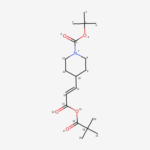 CC(C)(C)OC(=O)N1CCC(/C=C/C(=O)OC(=O)C(C)(C)C)CC1